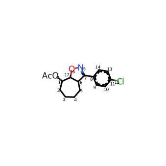 CC(=O)OC1CCCCC2C(c3ccc(Cl)cc3)=NOC12